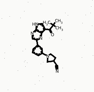 CC(C)(C)C(=O)c1c[nH]c2ncc(-c3cccc(N4CCC(C#N)C4)c3)nc12